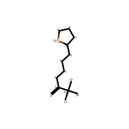 C=C(CCCCC1CCCS1)C(C)(C)C